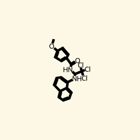 COc1ccc(C(=O)NC(Nc2cccc3ccccc23)C(Cl)(Cl)Cl)cc1